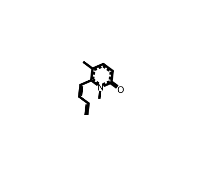 C=C/C=C\c1c(C)ccc(=O)n1C